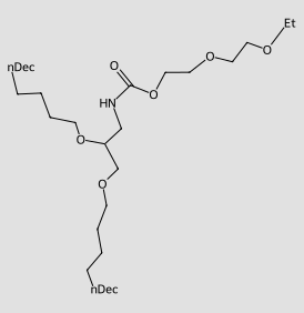 CCCCCCCCCCCCCCOCC(CNC(=O)OCCOCCOCC)OCCCCCCCCCCCCCC